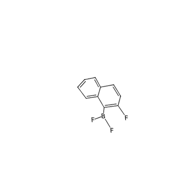 FB(F)c1c(F)ccc2ccccc12